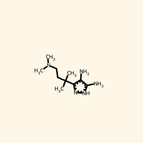 CN(C)CCC(C)(C)c1n[nH]c(N)c1N